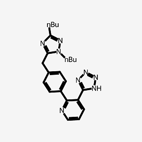 CCCCc1nc(Cc2ccc(-c3ncccc3-c3nnn[nH]3)cc2)n(CCCC)n1